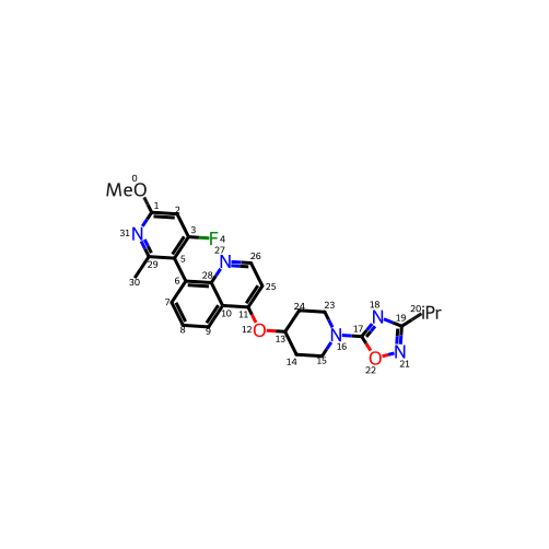 COc1cc(F)c(-c2cccc3c(OC4CCN(c5nc(C(C)C)no5)CC4)ccnc23)c(C)n1